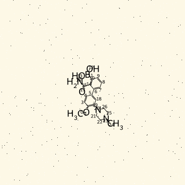 COc1ccc(-c2cccc(B(O)O)c2C(N)=O)cc1N1CCN(C)CC1